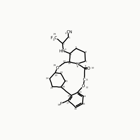 N#CCC(NC1CCCN2C(=O)COc3cccc(F)c3C3CCC(CC3)OCC12)C(F)(F)F